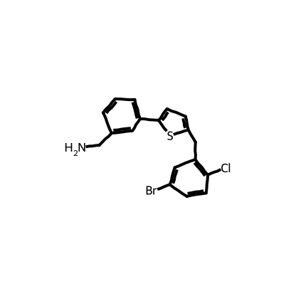 NCc1cccc(-c2ccc(Cc3cc(Br)ccc3Cl)s2)c1